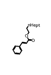 CCCCCCCCCOC(=O)C=Cc1ccccc1